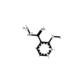 COc1nnccc1C(=N)NN